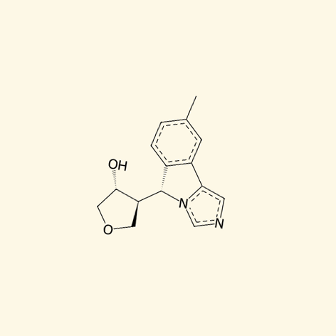 Cc1ccc2c(c1)-c1cncn1[C@@H]2[C@H]1COC[C@@H]1O